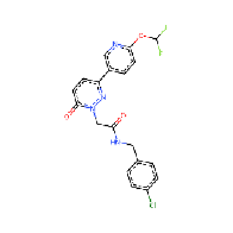 O=C(Cn1nc(-c2ccc(OC(F)F)nc2)ccc1=O)NCc1ccc(Cl)cc1